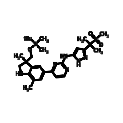 Cc1cc(-c2ccnc(Nc3cc(C(C)(C)S(C)(=O)=O)n[nH]3)n2)cc2c1NC[C@]2(C)CO[Si](C)(C)C(C)(C)C